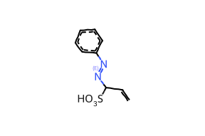 C=CC(/N=N/c1ccccc1)S(=O)(=O)O